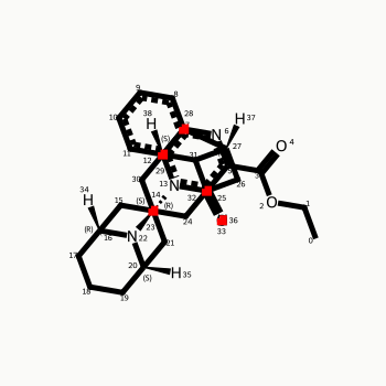 CCOC(=O)c1nc2ccccc2n([C@H]2C[C@H]3CCC[C@@H](C2)N3[C@@H]2C[C@H]3C[C@H]4C[C@@H](C2)C43)c1=O